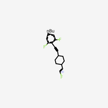 CCCCc1cc(F)c(C#CC2CCC(/C=C/F)CC2)c(F)c1